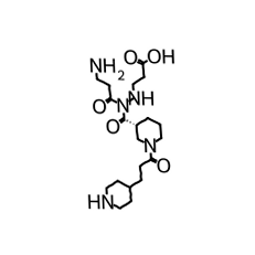 NCCC(=O)N(NCCC(=O)O)C(=O)[C@@H]1CCCN(C(=O)CCC2CCNCC2)C1